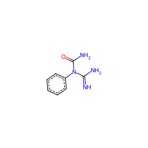 N=C(N)N(C(N)=O)c1ccccc1